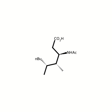 CCCC[C@@H](C)[C@@H](C)[C@@H](CC(=O)O)NC(C)=O